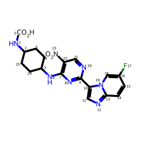 O=C(O)NC1CCC(Nc2nc(-c3cnc4ccc(F)cn34)ncc2[N+](=O)[O-])CC1